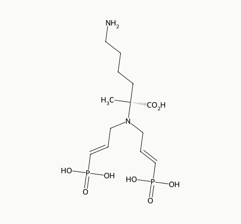 C[C@](CCCCN)(C(=O)O)N(CC=CP(=O)(O)O)CC=CP(=O)(O)O